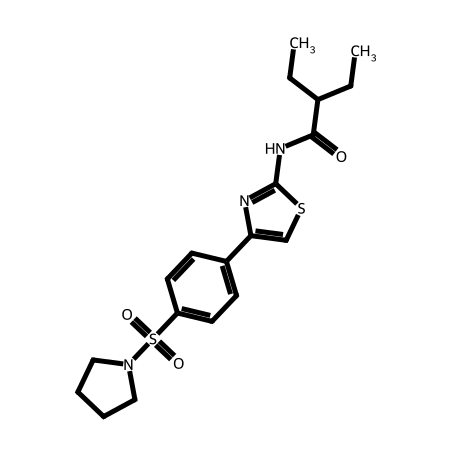 CCC(CC)C(=O)Nc1nc(-c2ccc(S(=O)(=O)N3CCCC3)cc2)cs1